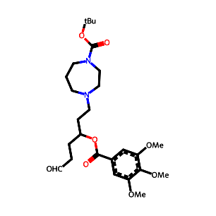 COc1cc(C(=O)OC(CCC=O)CCN2CCCN(C(=O)OC(C)(C)C)CC2)cc(OC)c1OC